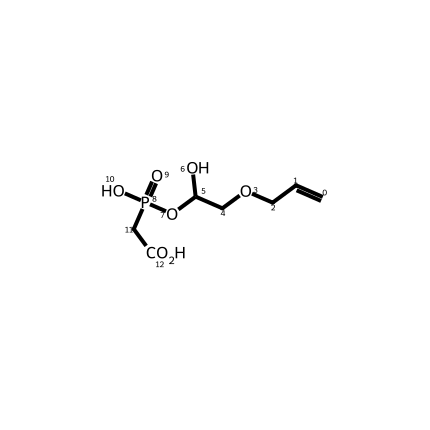 C=CCOCC(O)OP(=O)(O)CC(=O)O